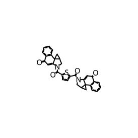 O=C1C=C2N(C(=O)c3ccc(C(=O)N4CC5CC56C4=CC(=O)c4ccccc46)s3)CC3CC23c2ccccc21